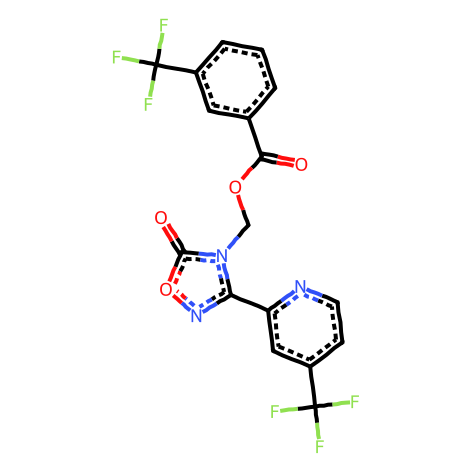 O=C(OCn1c(-c2cc(C(F)(F)F)ccn2)noc1=O)c1cccc(C(F)(F)F)c1